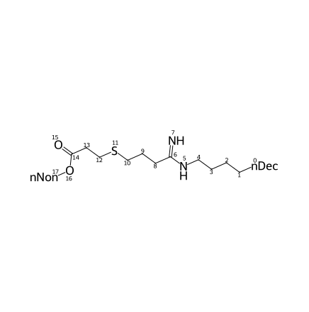 CCCCCCCCCCCCCCNC(=N)CCCSCCC(=O)OCCCCCCCCC